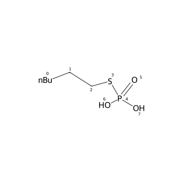 CCCCCCSP(=O)(O)O